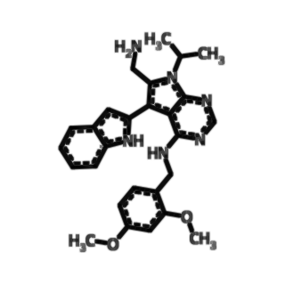 COc1ccc(CNc2ncnc3c2c(-c2cc4ccccc4[nH]2)c(CN)n3C(C)C)c(OC)c1